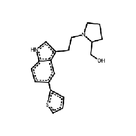 OCC1CCCN1CCc1c[nH]c2ccc(-c3cccs3)cc12